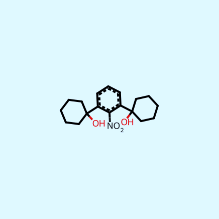 O=[N+]([O-])c1c(C2(O)CCCCC2)cccc1C1(O)CCCCC1